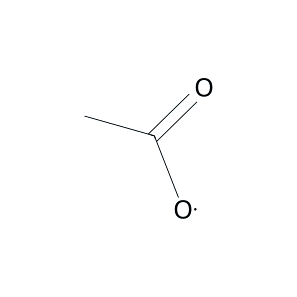 CC([O])=O